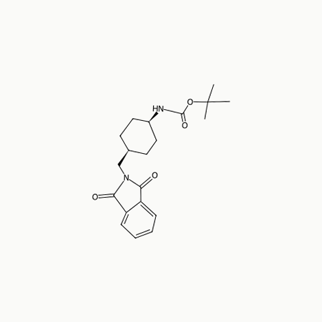 CC(C)(C)OC(=O)N[C@H]1CC[C@@H](CN2C(=O)c3ccccc3C2=O)CC1